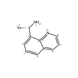 [2H][C@H](N)c1cncc2cccnc12